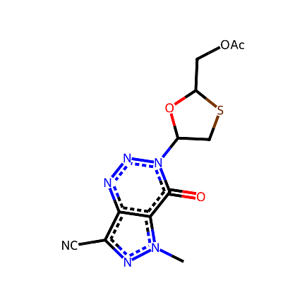 CC(=O)OCC1OC(n2nnc3c(C#N)nn(C)c3c2=O)CS1